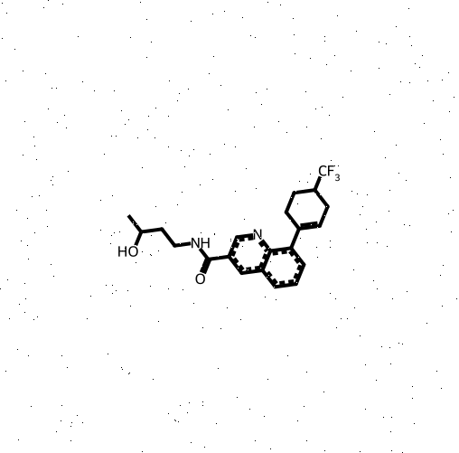 CC(O)CCNC(=O)c1cnc2c(C3=CCC(C(F)(F)F)CC3)cccc2c1